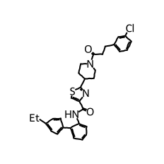 CCc1ccc(-c2ccccc2NC(=O)c2csc(C3CCN(C(=O)CCc4cccc(Cl)c4)CC3)n2)cc1